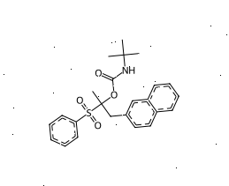 CC(C)(C)NC(=O)OC(C)(Cc1ccc2ccccc2c1)S(=O)(=O)c1ccccc1